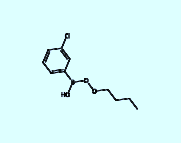 CCCCOOB(O)c1cccc(Cl)c1